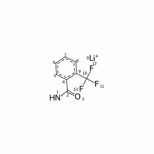 [Li+].[NH-]C(=O)c1ccccc1C(F)(F)F